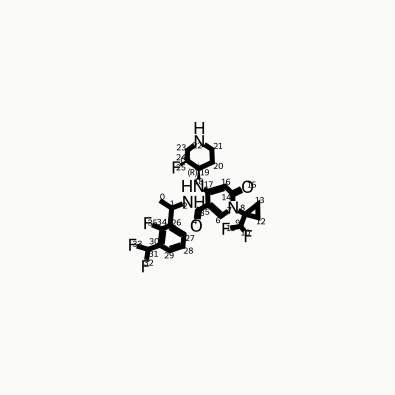 CC(NC(=O)c1cn(C2(C(F)F)CC2)c(=O)cc1N[C@@H]1CCNC[C@@H]1F)c1cccc(C(F)F)c1F